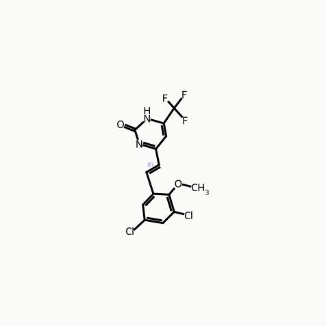 COc1c(Cl)cc(Cl)cc1/C=C/c1cc(C(F)(F)F)[nH]c(=O)n1